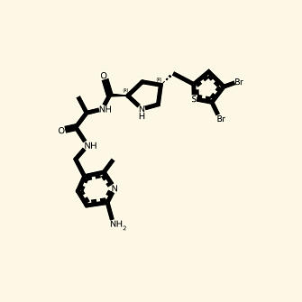 Cc1nc(N)ccc1CNC(=O)C(C)NC(=O)[C@H]1C[C@H](Cc2cc(Br)c(Br)s2)CN1